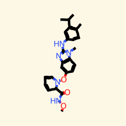 CONC(=O)C1C=CC=CN1Oc1ccc2c(c1)nc(Nc1ccc(C)c(C(C)C)c1)n2C